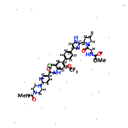 CNC(=O)N1CCN(c2ccc(C(=O)Nc3cc(OC(F)(F)F)c(-c4ccc(-c5c[nH]c(C6CC(C)CN6C(=O)CNC(=O)OC)n5)cc4)cc3Cl)cn2)CC1